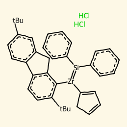 CC(C)(C)c1ccc2c(c1)Cc1c-2ccc(C(C)(C)C)[c]1[Zr]([C]1=CC=CC1)=[Si](c1ccccc1)c1ccccc1.Cl.Cl